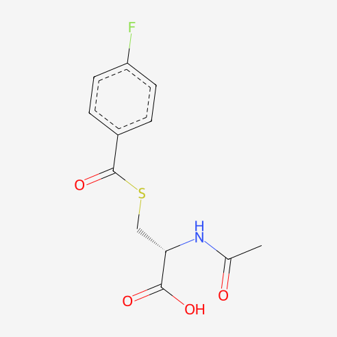 CC(=O)N[C@@H](CSC(=O)c1ccc(F)cc1)C(=O)O